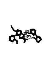 CCc1ccccc1-c1c(CC)ccc2c1C=C(C(C)C)[CH]2[Zr]([Cl])([Cl])[c]1cccc2c1[SiH2]c1ccccc1-2